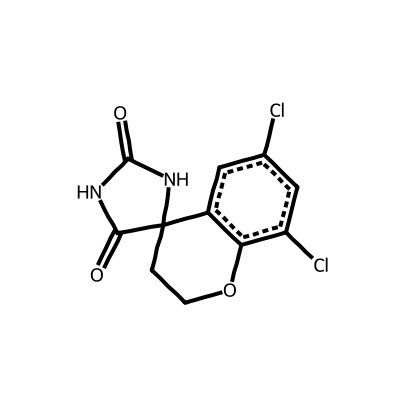 O=C1NC(=O)C2(CCOc3c(Cl)cc(Cl)cc32)N1